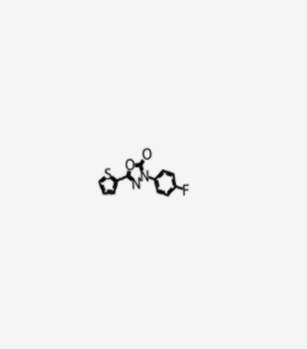 O=c1oc(-c2cccs2)nn1-c1ccc(F)cc1